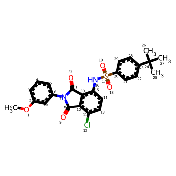 COc1cccc(N2C(=O)c3c(Cl)ccc(NS(=O)(=O)c4ccc(C(C)(C)C)cc4)c3C2=O)c1